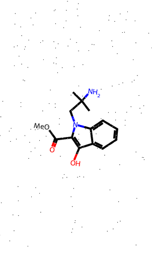 COC(=O)c1c(O)c2ccccc2n1CC(C)(C)N